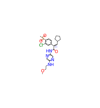 COCCNc1cnc(NC(=O)/C(=C/C2CCCC2)c2ccc(S(C)(=O)=O)c(Cl)c2)cn1